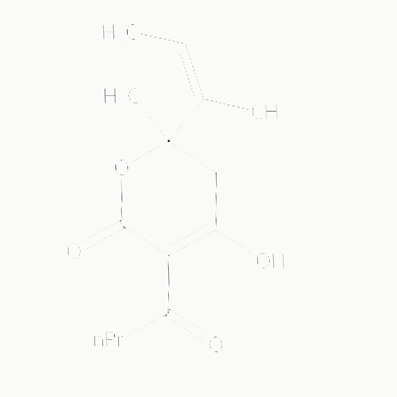 C/C=C(/C)C1(C)CC(O)=C(C(=O)CCC)C(=O)O1